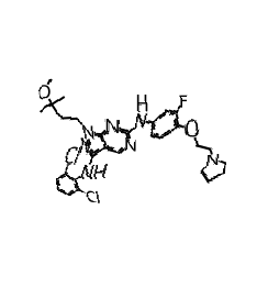 COC(C)(C)CCn1nc(Nc2c(Cl)cccc2Cl)c2cnc(Nc3ccc(OCCN4CCCC4)c(F)c3)nc21